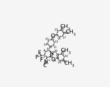 [C-]#[N+]c1c(C(F)(F)F)cc(-c2ccc(Oc3ccc(C)c(C)c3)cc2)n(Cc2ccc(C)cc2C)c1=O